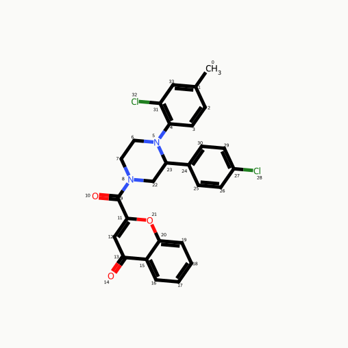 Cc1ccc(N2CCN(C(=O)c3cc(=O)c4ccccc4o3)CC2c2ccc(Cl)cc2)c(Cl)c1